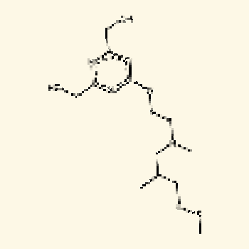 CSSCC(C)CN(C)CCOc1cc(CO)nc(CO)c1